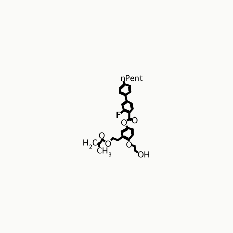 C=C(C)C(=O)OCCc1cc(OC(=O)c2ccc(-c3ccc(CCCCC)cc3)cc2F)ccc1OCCO